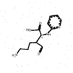 NCCCC(C=O)[C@H](Nc1ccccn1)C(=O)O